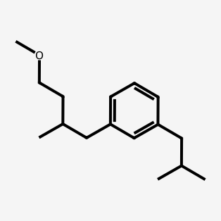 COCCC(C)Cc1cccc(CC(C)C)c1